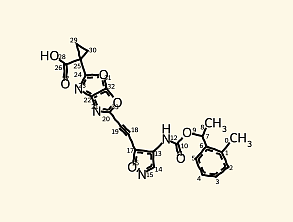 Cc1ccccc1C(C)OC(=O)Nc1cnoc1C#Cc1nc2nc(C3(C(=O)O)CC3)oc2o1